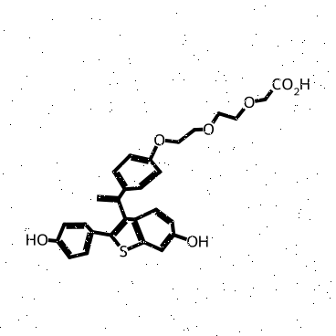 C=C(c1ccc(OCCOCCOCC(=O)O)cc1)c1c(-c2ccc(O)cc2)sc2cc(O)ccc12